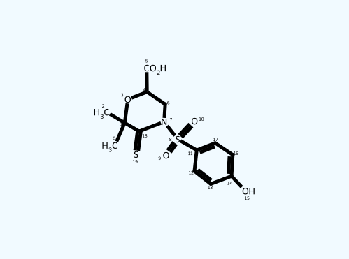 CC1(C)OC(C(=O)O)CN(S(=O)(=O)c2ccc(O)cc2)C1=S